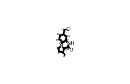 Cc1ccn2c1c(=O)[nH]c1cc(CCl)ccc12